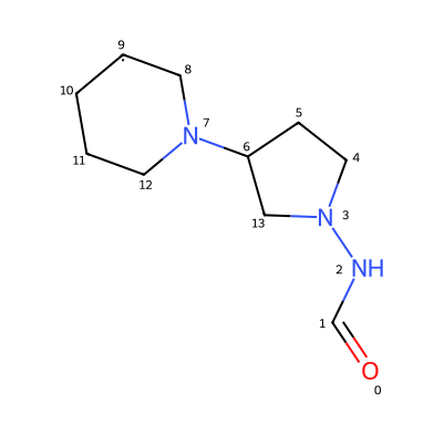 O=CNN1CCC(N2C[CH]CCC2)C1